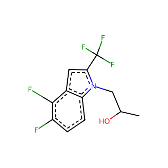 CC(O)Cn1c(C(F)(F)F)cc2c(F)c(F)ccc21